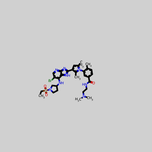 CCS(=O)(=O)N1CCC(Nc2c(Br)cnc3nc(-c4cc(C)n(-c5cc(C(=O)NCCN(C)C)ccc5C)c4C)[nH]c23)C1